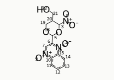 O=[N+]([O-])C1OC(c2c[n+]([O-])c3ccccc3[n+]2[O-])OCC1CO